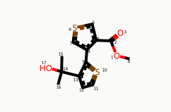 COC(=O)c1cs[c]c1-c1sccc1C(C)(C)O